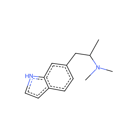 CC(Cc1ccc2cc[nH]c2c1)N(C)C